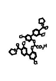 O=C(O)C(Oc1ccc(Cl)cc1-c1ccc(C(=O)N2CCCC2)c(Cl)c1)Oc1ccc(Cl)cc1-c1ccc(C(=O)N2CCCC2)c(Cl)c1